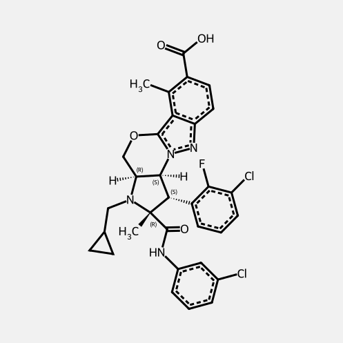 Cc1c(C(=O)O)ccc2nn3c(c12)OC[C@H]1[C@@H]3[C@H](c2cccc(Cl)c2F)[C@](C)(C(=O)Nc2cccc(Cl)c2)N1CC1CC1